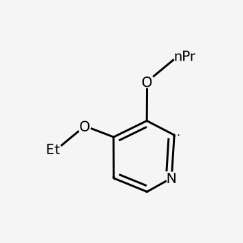 CCCOc1[c]nccc1OCC